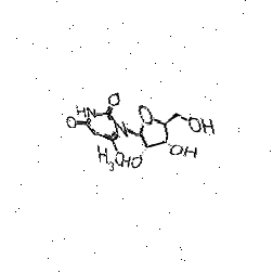 Cc1cc(=O)[nH]c(=O)n1[C@H]1O[C@@H](CO)[C@H](O)[C@@H]1O